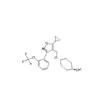 O[C@H]1[CH]C[C@H](OCc2c(-c3ccccc3OC(F)(F)F)noc2C2CC2)CC1